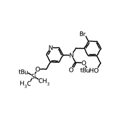 CC(C)(C)OC(=O)N(Cc1cc(CO)ccc1Br)c1cncc(CO[Si](C)(C)C(C)(C)C)c1